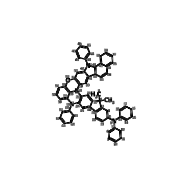 CC1(C)c2cc(N(c3ccccc3)c3ccccc3)ccc2-c2cc3c(cc21)B1c2cc4c5ccc6ccccc6c5n(-c5ccccc5)c4cc2Oc2cccc(c21)N3c1ccccc1